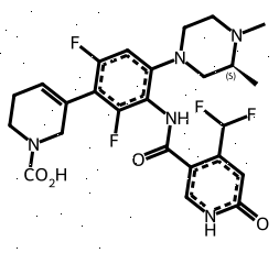 C[C@H]1CN(c2cc(F)c(C3=CCCN(C(=O)O)C3)c(F)c2NC(=O)c2c[nH]c(=O)cc2C(F)F)CCN1C